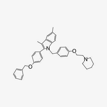 Cc1ccc2c(c1)c(C)c(-c1ccc(OCc3ccccc3)cc1)n2Cc1ccc(OCCN2CCCCC2)cc1